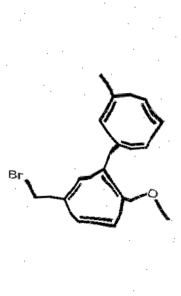 COc1ccc(CBr)cc1-c1cccc(C)c1